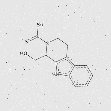 OCC1c2[nH]c3ccccc3c2CCN1C(=S)S